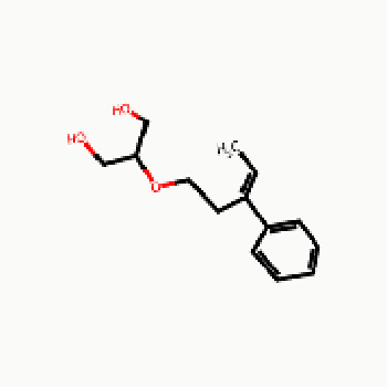 C/C=C(\CCOC(CO)CO)c1ccccc1